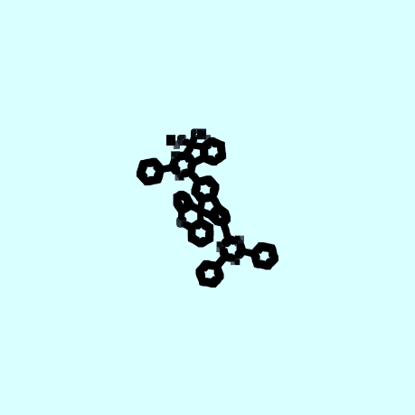 CC1(C)c2ccccc2-c2c(-c3ccc4c(c3)C3(c5ccccc5Oc5ccccc53)c3cc(-c5nc(-c6ccccc6)nc(-c6ccccc6)n5)ccc3-4)nc(-c3ccccc3)nc21